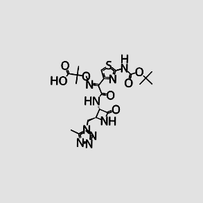 Cc1nnnn1C[C@@H]1NC(=O)[C@H]1NC(=O)C(=NOC(C)(C)C(=O)O)c1csc(NC(=O)OC(C)(C)C)n1